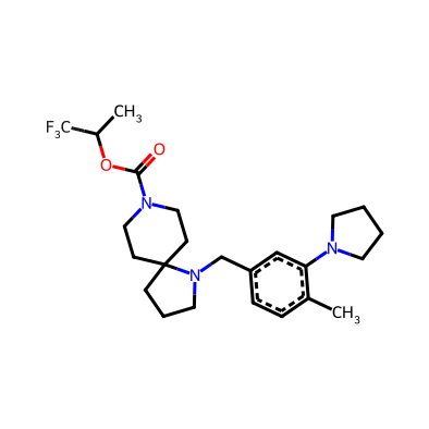 Cc1ccc(CN2CCCC23CCN(C(=O)OC(C)C(F)(F)F)CC3)cc1N1CCCC1